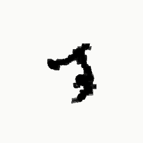 Cc1cccc2c(OC(=O)N(C)CCN(C)C(=O)OCc3ccc(NC(=O)[C@H](CCCNC(N)=O)NC(=O)[C@@H](NC(=O)OCCOCCOCCOCCN4C(=O)C=CC4=O)C(C)C)cc3)cc3c(c12)[C@H](CCl)CN3C(=O)c1cc2cc(NC(=O)C3=CC=C(O)CC3)ncc2[nH]1